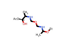 CCOC(C)NCOCNC(C)[C@@H](O)OC(C)=O